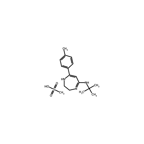 CS(=O)(=O)O.Cc1ccc(C2=CC(NC(C)(C)C)=NCCN2)cc1